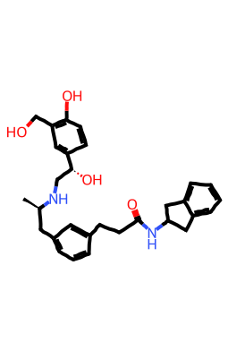 C[C@H](Cc1cccc(CCC(=O)NC2Cc3ccccc3C2)c1)NC[C@@H](O)c1ccc(O)c(CO)c1